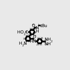 CC(C)(C)CNC(=O)c1ccc(-c2ccc(N)cc2C(=O)Nc2ccc(C(=N)N)cc2)c(C(=O)O)c1